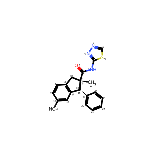 C[C@]1(C(=O)Nc2nncs2)Cc2ccc(C#N)cc2[C@H]1c1ccccc1